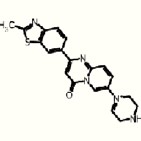 Cc1nc2ccc(-c3cc(=O)n4cc([N+]5=CCNCC5)ccc4n3)cc2s1